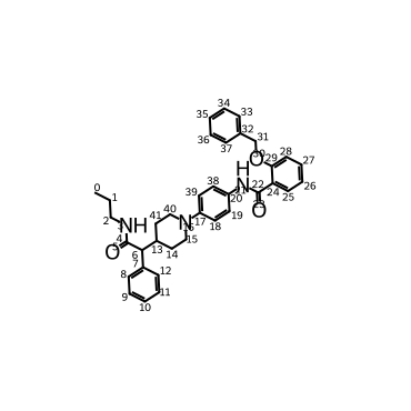 CCCNC(=O)C(c1ccccc1)C1CCN(c2ccc(NC(=O)c3ccccc3OCc3ccccc3)cc2)CC1